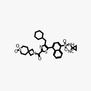 N#CC1(NS(=O)(=O)c2ccc(-c3sc(C(=O)N4CC5(CCS(=O)(=O)CC5)C4)nc3CC3CCCCC3)c3ccccc23)CC1